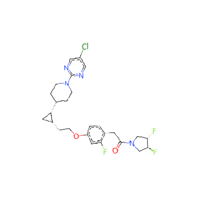 O=C(Cc1ccc(OCC[C@@H]2C[C@@H]2C2CCN(c3ncc(Cl)cn3)CC2)cc1F)N1C[C@H](F)[C@@H](F)C1